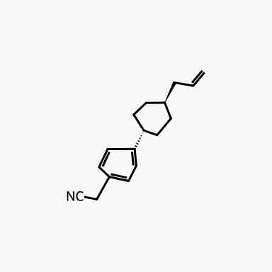 C=CC[C@H]1CC[C@H](c2ccc(CC#N)cc2)CC1